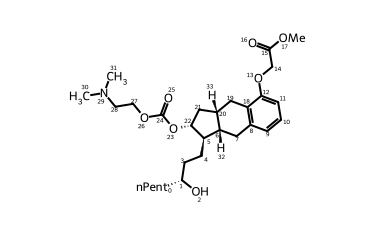 CCCCC[C@@H](O)CC[C@@H]1[C@H]2Cc3cccc(OCC(=O)OC)c3C[C@H]2C[C@H]1OC(=O)OCCN(C)C